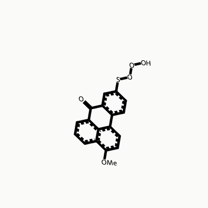 COc1ccc2c3c(cccc13)C(=O)c1cc(SOOO)ccc1-2